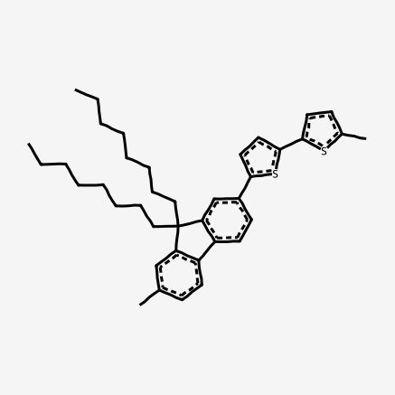 CCCCCCCCC1(CCCCCCCC)c2cc(C)ccc2-c2ccc(-c3ccc(-c4ccc(C)s4)s3)cc21